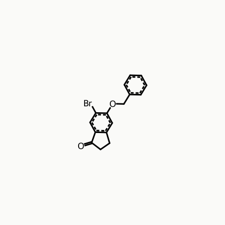 O=C1CCc2cc(OCc3ccccc3)c(Br)cc21